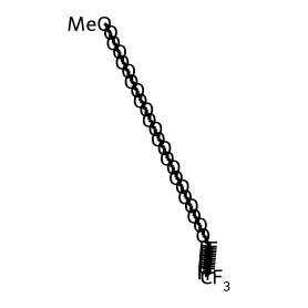 COCCOCCOCCOCCOCCOCCOCCOCCOCCOCCOCCOCCOCCOCCOCCOCCOCCOCCOCCOCCOCCOCCOCCCC(F)(F)C(F)(F)C(F)(F)C(F)(F)C(F)(F)C(F)(F)C(F)(F)C(F)(F)F